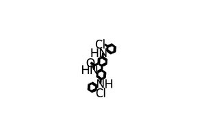 O=c1[nH]c2cc(Nc3ccccc3Cl)ccc2c2ccc(Nc3ccccc3Cl)cc12